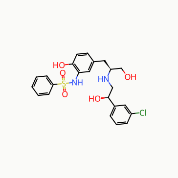 O=S(=O)(Nc1cc(C[C@@H](CO)NC[C@H](O)c2cccc(Cl)c2)ccc1O)c1ccccc1